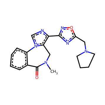 CN1Cc2c(-c3noc(CN4CCCC4)n3)ncn2-c2ccccc2C1=O